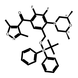 Cc1noc(C)c1C(=O)c1cc(CO[Si](c2ccccc2)(c2ccccc2)C(C)(C)C)c(N2C[C@@H](C)O[C@@H](C)C2)c(F)c1F